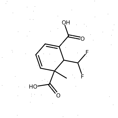 CC1(C(=O)O)C=CC=C(C(=O)O)C1C(F)F